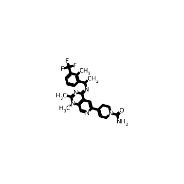 Cc1c(C(C)N=c2nc(C)n(C)c3cnc(C4=CCN(C(N)=O)CC4)cc23)cccc1C(F)(F)F